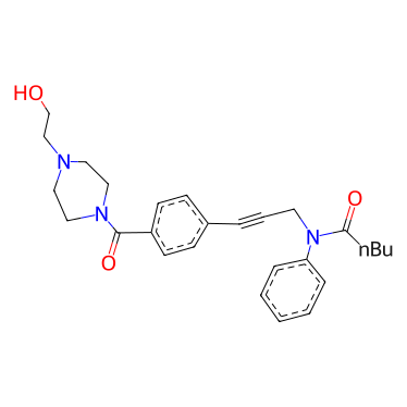 CCCCC(=O)N(CC#Cc1ccc(C(=O)N2CCN(CCO)CC2)cc1)c1ccccc1